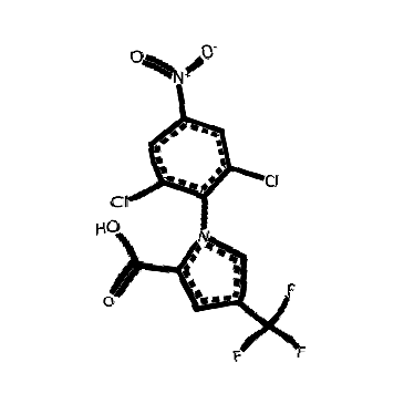 O=C(O)c1cc(C(F)(F)F)cn1-c1c(Cl)cc([N+](=O)[O-])cc1Cl